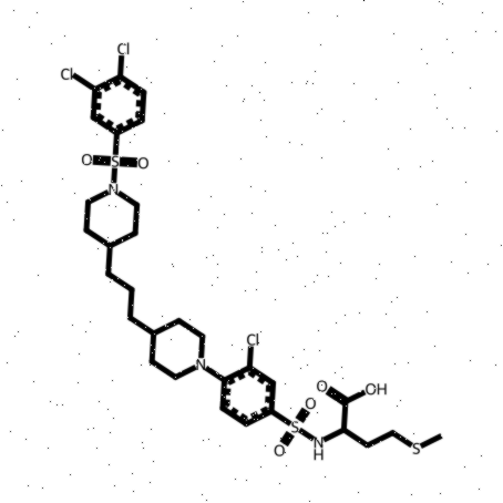 CSCCC(NS(=O)(=O)c1ccc(N2CCC(CCCC3CCN(S(=O)(=O)c4ccc(Cl)c(Cl)c4)CC3)CC2)c(Cl)c1)C(=O)O